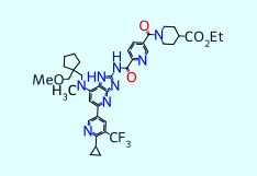 CCOC(=O)C1CCN(C(=O)c2ccc(C(=O)Nc3nc4nc(-c5cnc(C6CC6)c(C(F)(F)F)c5)cc(N(C)CC5(COC)CCCC5)c4[nH]3)nc2)CC1